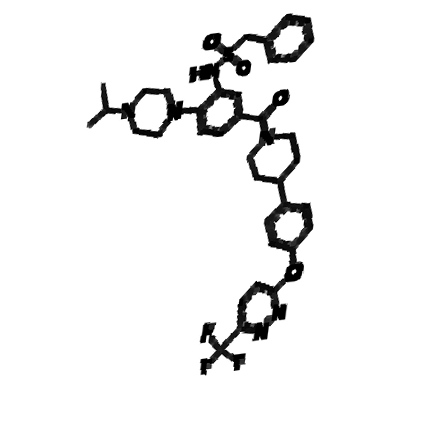 CC(C)N1CCN(c2ccc(C(=O)N3CCC(c4ccc(Oc5ccc(C(F)(F)F)nn5)cc4)CC3)cc2NS(=O)(=O)Cc2ccccc2)CC1